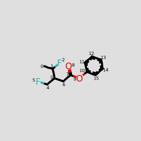 CC(F)C(CF)CC(=O)Oc1ccccc1